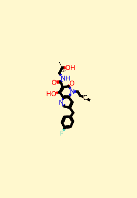 CCCCn1c(=O)c(C(=O)NC[C@H](C)O)c(O)c2ncc(Cc3ccc(F)cc3)cc21